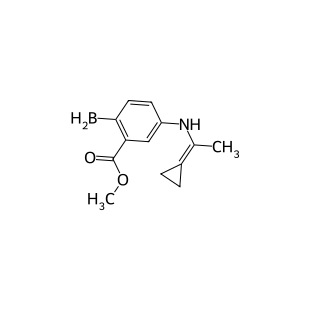 Bc1ccc(NC(C)=C2CC2)cc1C(=O)OC